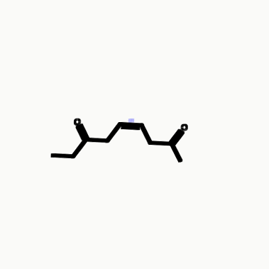 CCC(=O)C/C=C\CC(C)=O